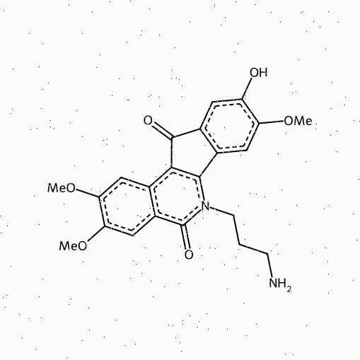 COc1cc2c(cc1O)C(=O)c1c-2n(CCCN)c(=O)c2cc(OC)c(OC)cc12